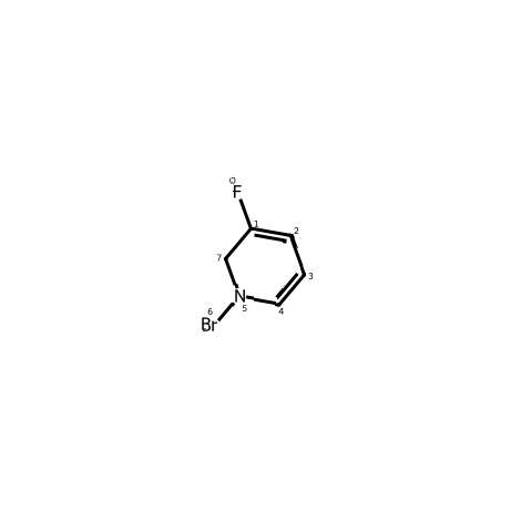 FC1=CC=CN(Br)C1